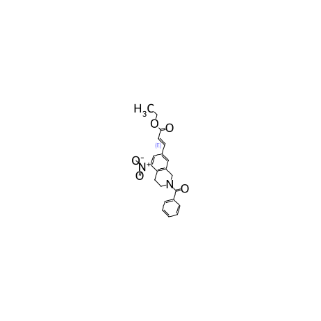 CCOC(=O)/C=C/c1cc2c(c([N+](=O)[O-])c1)CCN(C(=O)c1ccccc1)C2